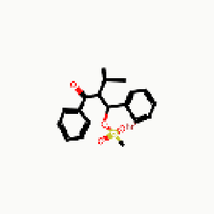 CC(C)C(C(=O)c1ccccc1)C(OS(C)(=O)=O)c1ccccc1Br